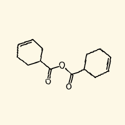 O=C(OC(=O)C1CC=CCC1)C1CC=CCC1